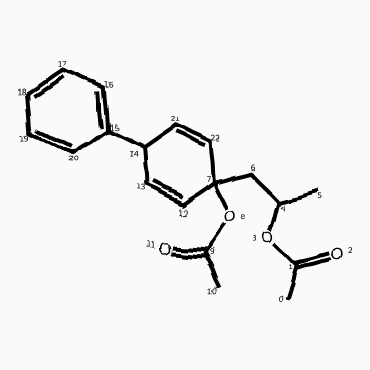 CC(=O)OC(C)CC1(OC(C)=O)C=CC(c2ccccc2)C=C1